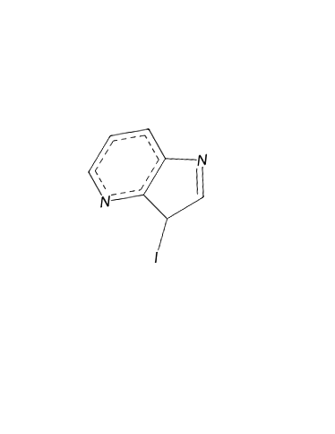 IC1C=Nc2cccnc21